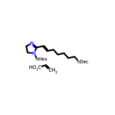 C=CC(=O)O.CCCCCCCCCCCCCCCC=CC1=NCCN1CCCCCC